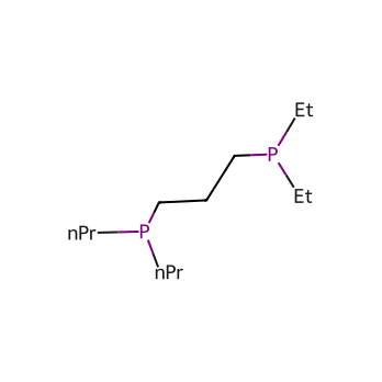 CCCP(CCC)CCCP(CC)CC